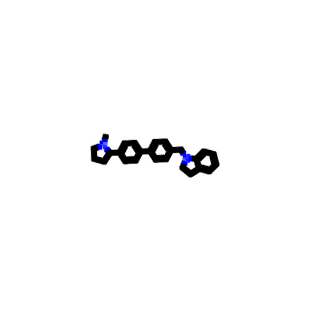 CN1CCCC1c1ccc(-c2ccc(CN3CCc4ccccc43)cc2)cc1